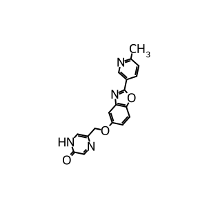 Cc1ccc(-c2nc3cc(OCc4c[nH]c(=O)cn4)ccc3o2)cn1